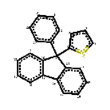 c1ccc(C2(c3cccs3)c3ccccc3-c3ccccc32)cc1